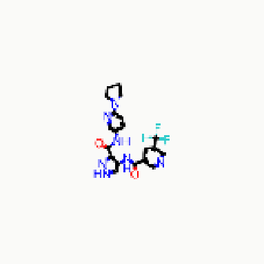 O=C(Nc1c[nH]nc1C(=O)Nc1ccc(N2CCCC2)nc1)c1cncc(C(F)(F)F)c1